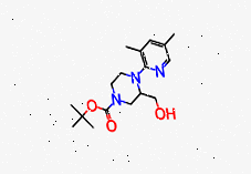 Cc1cnc(N2CCN(C(=O)OC(C)(C)C)CC2CO)c(C)c1